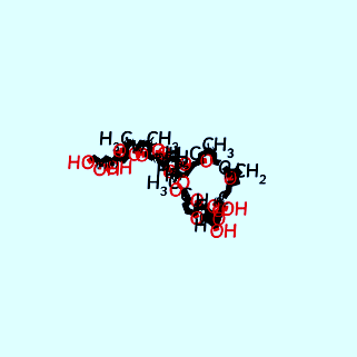 C=C1C2CC3O[C@H]4C[C@H]5O[C@]6(CC7O[C@]8(C[C@H](C)C9OC([C@@H](O)C[C@@H](O)CO)CC9O8)C[C@H](C)C7O6)C[C@H]5O[C@H]4[C@H](C)C3OC(=O)CC3CCC4O[C@@H]5C6C(O[C@]7(CCC8CC(=C)[C@H](CCC(C[C@H]1C)O2)O8)OC61OC(O)(C51)C7O)[C@H]4O3